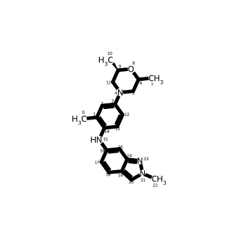 Cc1cc(N2CC(C)O[C@H](C)C2)ccc1Nc1ccc2cn(C)nc2c1